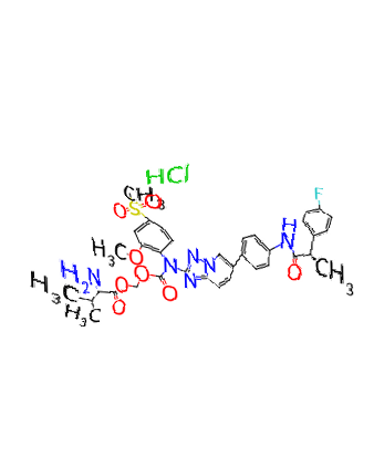 COc1cc(S(C)(=O)=O)ccc1N(C(=O)OCOC(=O)[C@@H](N)C(C)C)c1nc2ccc(-c3ccc(NC(=O)[C@H](C)c4ccc(F)cc4)cc3)cn2n1.Cl